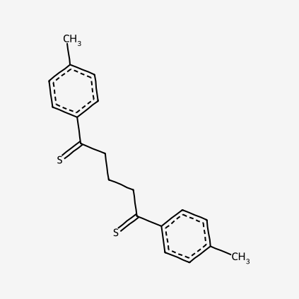 Cc1ccc(C(=S)CCCC(=S)c2ccc(C)cc2)cc1